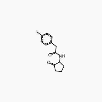 O=C(Cc1ccc(I)cc1)NC1CCCC1=O